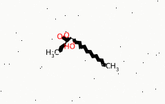 CC=CC[C@H]1C(=O)O[C@@H]1CC(O)CCCCCCCCCCC